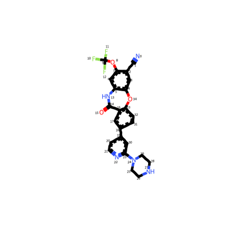 N#Cc1cc2c(cc1OC(F)(F)F)NC(=O)c1cc(-c3ccnc(N4CCNCC4)c3)ccc1O2